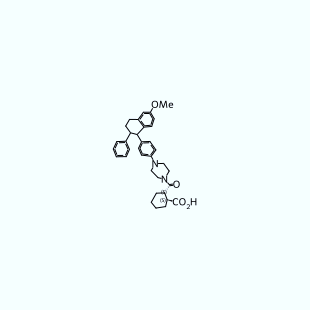 COc1ccc2c(c1)CCC(c1ccccc1)C2c1ccc(N2CCN(C(=O)[C@H]3CCCC[C@@H]3C(=O)O)CC2)cc1